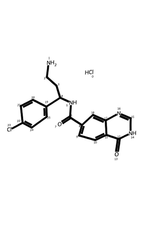 Cl.NCCC(NC(=O)c1ccc2c(=O)[nH]cnc2c1)c1ccc(Cl)cc1